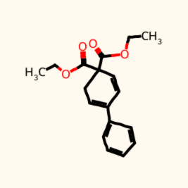 CCOC(=O)C1(C(=O)OCC)C=CC(c2ccccc2)=CC1